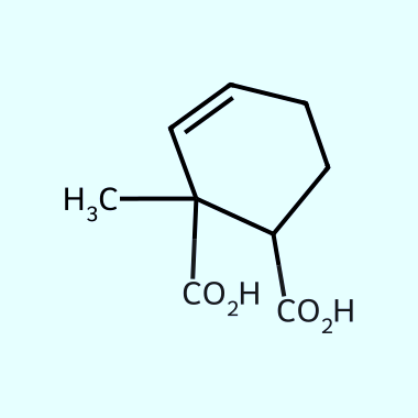 CC1(C(=O)O)C=CCCC1C(=O)O